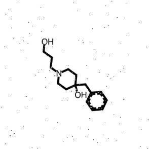 OCCCN1CCC(O)(Cc2ccccc2)CC1